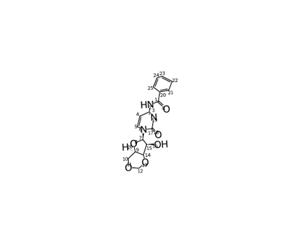 O=C(Nc1ccn([C@@H]2O[C@@H]3COCOC3[C@@H]2O)c(=O)n1)c1ccccc1